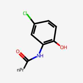 CCCC(=O)Nc1cc(Cl)ccc1O